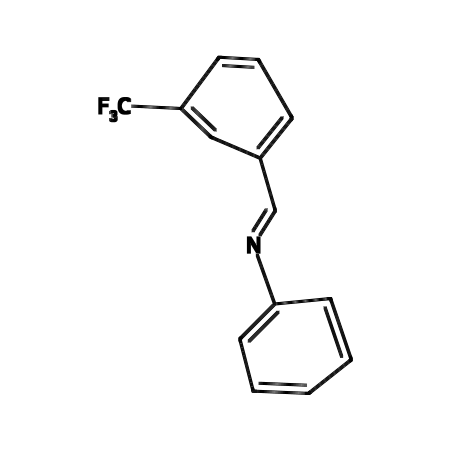 FC(F)(F)c1cccc(C=Nc2ccccc2)c1